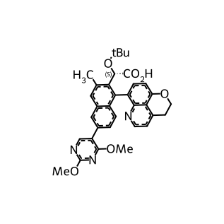 COc1ncc(-c2ccc3c(-c4ccc5c6c(ccnc46)CCO5)c([C@H](OC(C)(C)C)C(=O)O)c(C)cc3c2)c(OC)n1